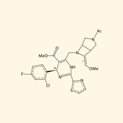 CO/C=C1\C2CN(C(C)=O)CC2N1CC1=C(C(=O)OC)[C@H](c2ccc(F)cc2Cl)N=C(c2nccs2)N1